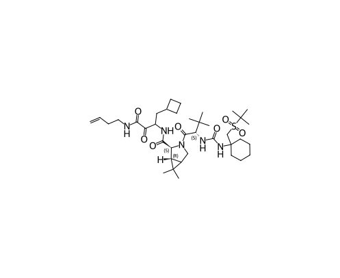 C=CCCNC(=O)C(=O)C(CC1CCC1)NC(=O)[C@@H]1[C@@H]2C(CN1C(=O)[C@@H](NC(=O)NC1(CS(=O)(=O)C(C)(C)C)CCCCC1)C(C)(C)C)C2(C)C